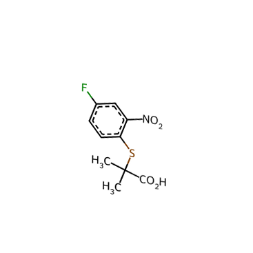 CC(C)(Sc1ccc(F)cc1[N+](=O)[O-])C(=O)O